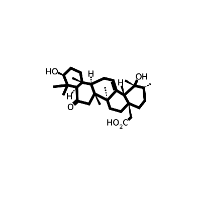 C[C@@H]1CC[C@]2(CC(=O)O)CC[C@]3(C)C(=CC[C@@H]4[C@@]5(C)CC[C@H](O)C(C)(C)[C@@H]5C(=O)C[C@]43C)[C@@H]2[C@]1(C)O